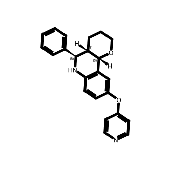 c1ccc([C@@H]2Nc3ccc(Oc4ccncc4)cc3[C@H]3OCCC[C@H]32)cc1